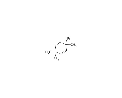 CC(C)C1(C)C=CC(C)(C(F)(F)F)CC1